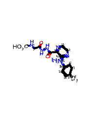 O=C(O)NCC(=O)NNC(=O)c1nccnc1Nc1ccc(C(F)(F)F)cc1